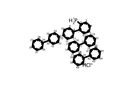 Cl.Pc1ccccc1-c1ccccc1.c1ccc(-c2ccccc2)cc1.c1ccc(-c2ccccc2)cc1.c1ccc(-c2ccccc2)cc1